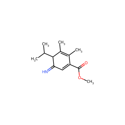 COC(=O)C1=CC(=N)C(C(C)C)C(C)=C1C